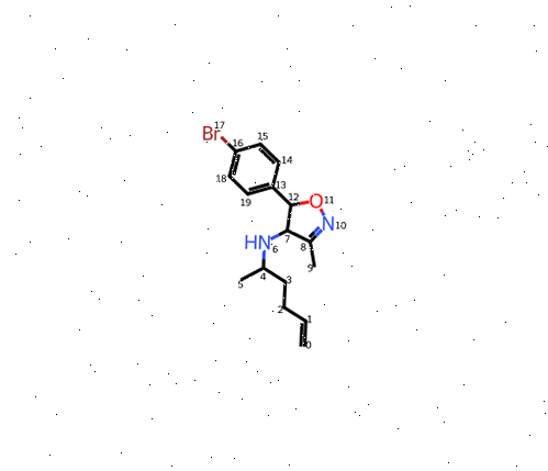 C=CCCC(C)NC1C(C)=NOC1c1ccc(Br)cc1